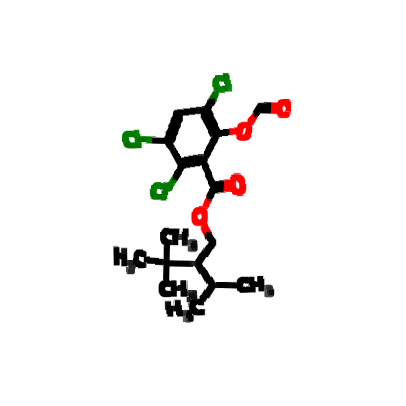 CC(C)C(COC(=O)c1c(Cl)c(Cl)cc(Cl)c1OC=O)C(C)(C)C